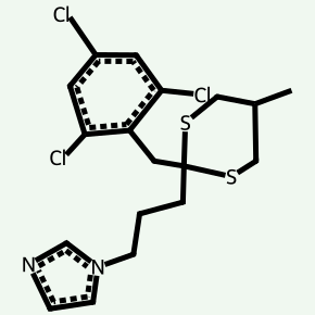 CC1CSC(CCCn2ccnc2)(Cc2c(Cl)cc(Cl)cc2Cl)SC1